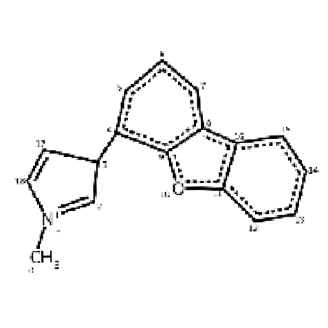 C[N+]1=CC(c2cccc3c2oc2ccccc23)C=C1